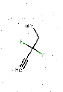 C#CC(F)(F)CCCC